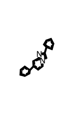 c1ccc(-c2ccn3cc(-c4ccccc4)nc3c2)cc1